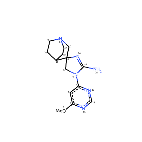 COc1cc(N2CC3(CN4CCC3CC4)N=C2N)ncn1